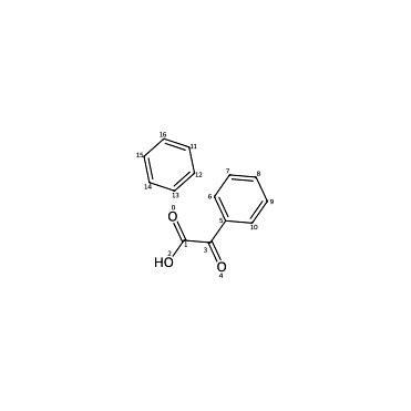 O=C(O)C(=O)c1ccccc1.c1ccccc1